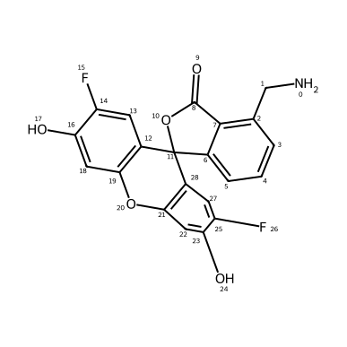 NCc1cccc2c1C(=O)OC21c2cc(F)c(O)cc2Oc2cc(O)c(F)cc21